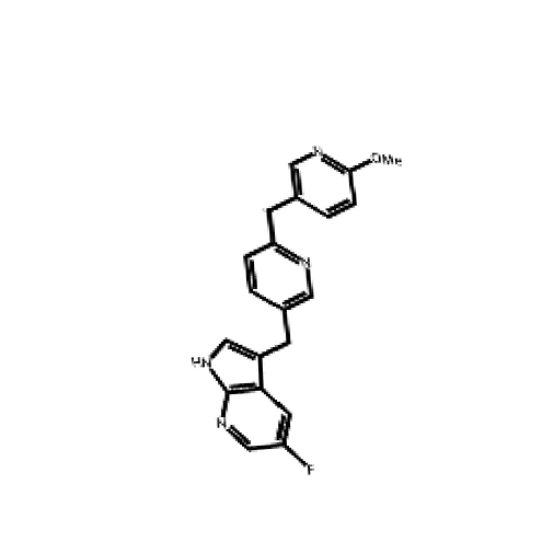 COc1ccc([CH]c2ccc(Cc3c[nH]c4ncc(F)cc34)cn2)cn1